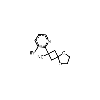 CC(C)c1cccnc1C1(C#N)CC2(C1)OCCO2